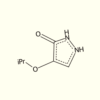 CC(C)Oc1c[nH][nH]c1=O